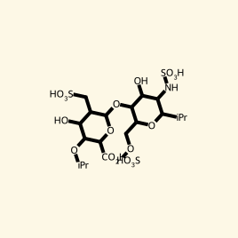 CC(C)OC1C(C(=O)O)OC(OC2C(COS(=O)(=O)O)OC(C(C)C)C(NS(=O)(=O)O)C2O)C(CS(=O)(=O)O)C1O